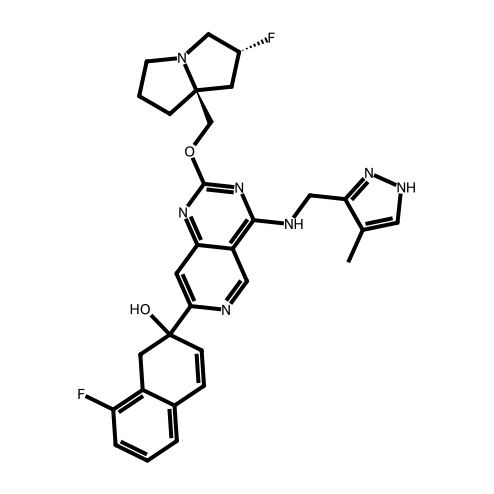 Cc1c[nH]nc1CNc1nc(OC[C@@]23CCCN2C[C@H](F)C3)nc2cc(C3(O)C=Cc4cccc(F)c4C3)ncc12